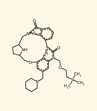 C[Si](C)(C)CCOCn1c(=O)c2nc3c(cc(CN4CCCCC4)cc31)OCC1CCC(Cn3sc4c-2cccc4c3=O)N1